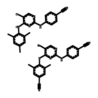 Cc1cc(C#N)cc(C)c1Oc1nc(Nc2ccc(C#N)cc2)ncc1Br.Cc1cc(C)c(Nc2nc(Nc3ccc(C#N)cc3)ncc2Cl)c(C)c1